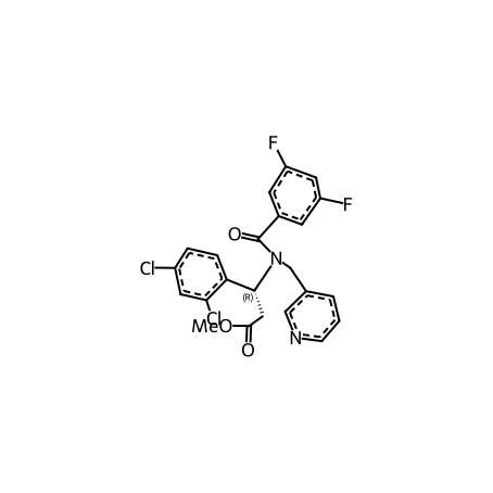 COC(=O)C[C@H](c1ccc(Cl)cc1Cl)N(Cc1cccnc1)C(=O)c1cc(F)cc(F)c1